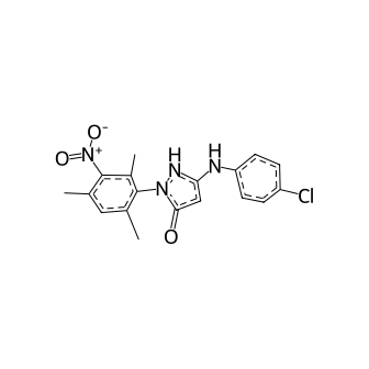 Cc1cc(C)c([N+](=O)[O-])c(C)c1-n1[nH]c(Nc2ccc(Cl)cc2)cc1=O